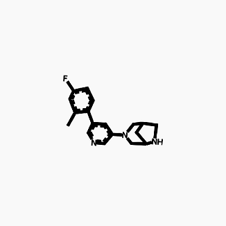 Cc1cc(F)ccc1-c1cncc(N2CC3CNC(C3)C2)c1